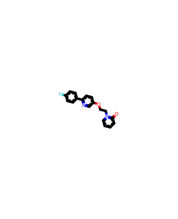 O=c1ccccn1CCOc1ccc(-c2ccc(F)cc2)nc1